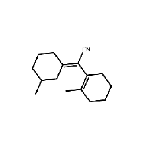 CC1=C(C(C#N)=C2CCCC(C)C2)CCCC1